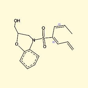 C=C/C=C(\C=C/C)S(=O)(=O)N1CC(CO)Oc2ccccc21